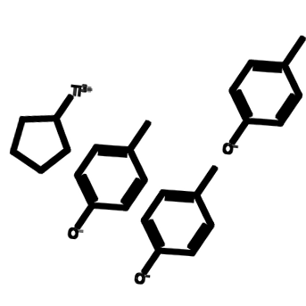 Cc1ccc([O-])cc1.Cc1ccc([O-])cc1.Cc1ccc([O-])cc1.[Ti+3][CH]1CCCC1